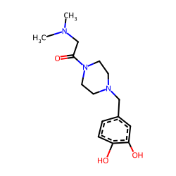 CN(C)CC(=O)N1CCN(Cc2ccc(O)c(O)c2)CC1